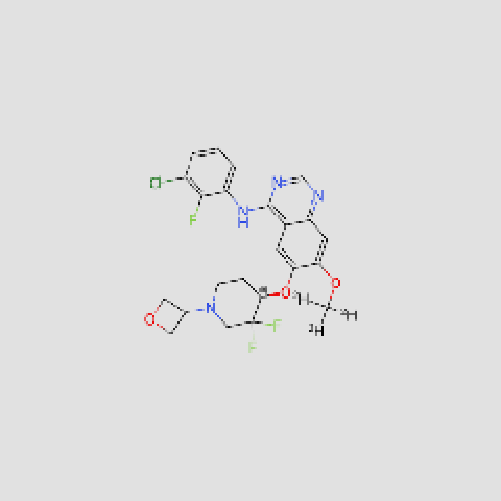 [2H]C([2H])([2H])Oc1cc2ncnc(Nc3cccc(Cl)c3F)c2cc1O[C@@H]1CCN(C2COC2)CC1(F)F